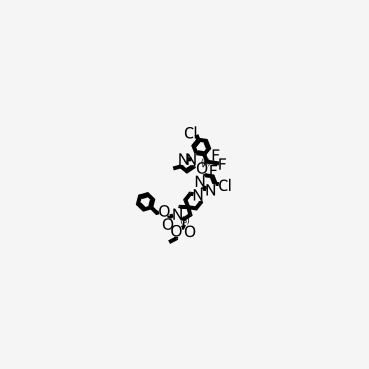 CCOC(=O)[C@@H]1CC2(CCN(c3nc(Cl)cc(O[C@H](c4ccc(Cl)cc4-n4ccc(C)n4)C(F)(F)F)n3)CC2)CN1C(=O)OCc1ccccc1